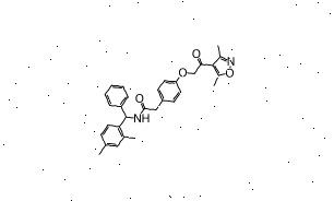 Cc1ccc(C(NC(=O)Cc2ccc(OCC(=O)c3c(C)noc3C)cc2)c2ccccc2)c(C)c1